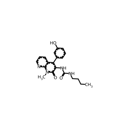 CCCCNC(=O)Nc1c(-c2cccc(O)c2)c2cccnc2n(C)c1=O